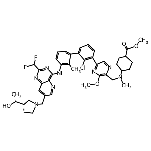 COC(=O)C1CCC(N(C)Cc2ncc(-c3cccc(-c4cccc(Nc5nc(C(F)F)nc6cc(CN7CC[C@H]([C@@H](C)O)C7)cnc56)c4C)c3Cl)nc2OC)CC1